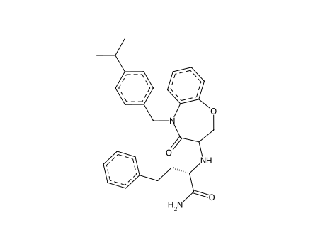 CC(C)c1ccc(CN2C(=O)C(N[C@@H](CCc3ccccc3)C(N)=O)COc3ccccc32)cc1